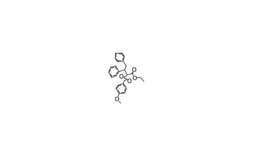 CCOC(=O)C(C(Cc1ccccc1)c1ccccc1)S(=O)(=O)c1ccc(OC)cc1